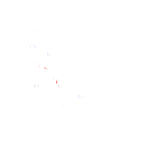 C#C[C@@]1(O)[C@H](O)C(COP(=O)(N[C@H](C)C(=O)OC2CCCC2)Oc2ccccc2)O[C@H]1n1ccc(=O)[nH]c1=O